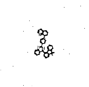 CC1(C)c2ccccc2-c2c(-c3nc(-c4ccc(-c5cccc6cccnc56)cc4)nc4ccccc34)cccc21